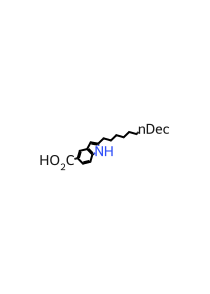 CCCCCCCCCCCCCCCCc1cc2cc(C(=O)O)ccc2[nH]1